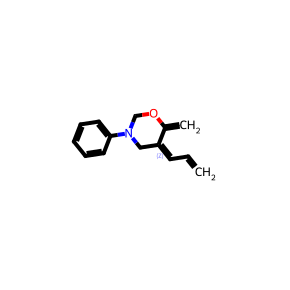 C=C/C=C1/CN(c2ccccc2)COC1=C